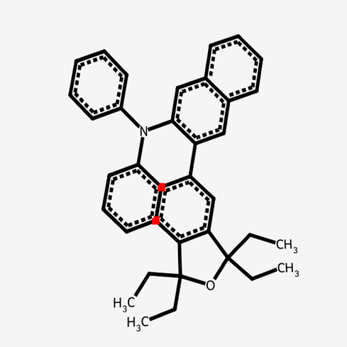 CCC1(CC)OC(CC)(CC)c2cc(-c3cc4ccccc4cc3N(c3ccccc3)c3ccccc3)ccc21